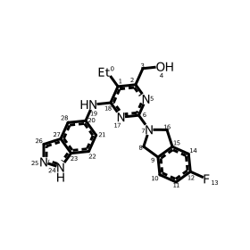 CCc1c(CO)nc(N2Cc3ccc(F)cc3C2)nc1Nc1ccc2[nH]ncc2c1